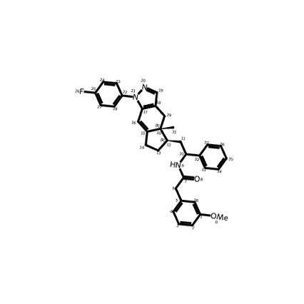 COc1cccc(CC(=O)NC(C[C@H]2CCC3=Cc4c(cnn4-c4ccc(F)cc4)C[C@@]32C)c2ccccc2)c1